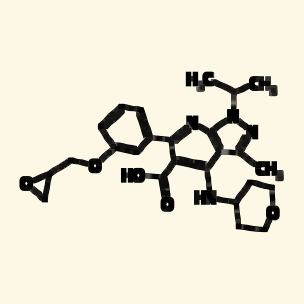 Cc1nn(C(C)C)c2nc(-c3cccc(OCC4CO4)c3)c(C(=O)O)c(NC3CCOCC3)c12